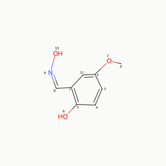 COc1ccc(O)c(/C=N\O)c1